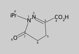 CC(C)N1N=C(C(=O)O)CCC1=O